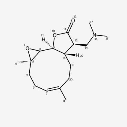 C/C1=C/CC[C@@]2(C)OC2[C@H]2OC(=O)[C@@H](CN(C)C)[C@@H]2CC1